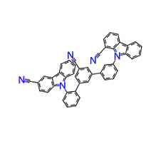 N#Cc1cc(-c2cccc(-n3c4ccccc4c4cccc(C#N)c43)c2)cc(-c2ccccc2-n2c3ccccc3c3cc(C#N)ccc32)c1